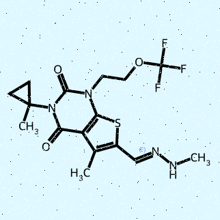 CN/N=C/c1sc2c(c1C)c(=O)n(C1(C)CC1)c(=O)n2CCOC(F)(F)F